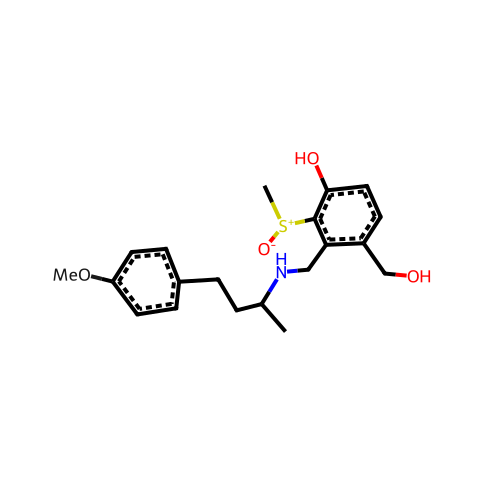 COc1ccc(CCC(C)NCc2c(CO)ccc(O)c2[S+](C)[O-])cc1